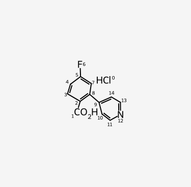 Cl.O=C(O)c1ccc(F)cc1-c1ccncc1